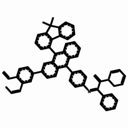 C=Cc1ccc(-c2ccc3c(-c4ccc(/N=C(\C(=C)C5C=CC=CC5)c5ccccc5)cc4)c4ccccc4c(-c4cccc5c4-c4ccccc4C5(C)C)c3c2)cc1/C=C\C